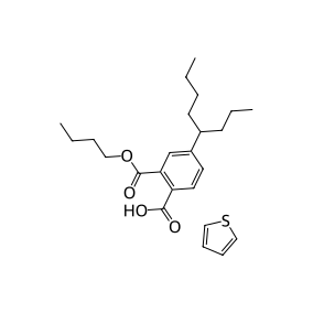 CCCCOC(=O)c1cc(C(CCC)CCCC)ccc1C(=O)O.c1ccsc1